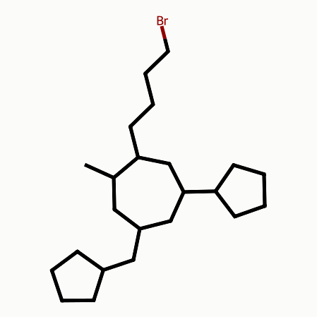 CC1CC(CC2CCCC2)CC(C2CCCC2)CC1CCCCBr